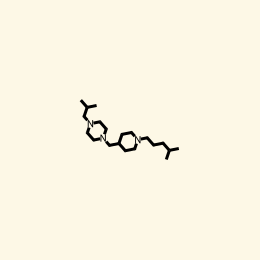 CC(C)CCCN1CCC(CN2CCN(CC(C)C)CC2)CC1